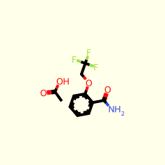 CC(=O)O.NC(=O)c1ccccc1OCC(F)(F)F